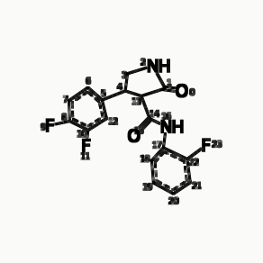 O=C1NCC(c2ccc(F)c(F)c2)C1C(=O)Nc1ccccc1F